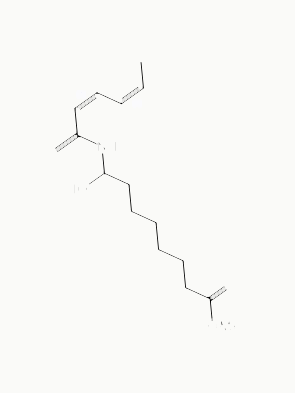 C=C(/C=C\C=C/C)NC(O)CCCCCCC(=O)OC